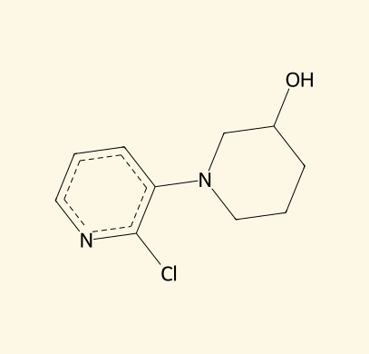 OC1CCCN(c2cccnc2Cl)C1